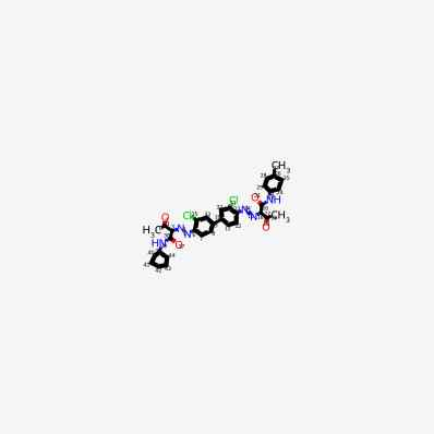 CC(=O)C(/N=N/c1ccc(-c2ccc(/N=N/C(C(C)=O)C(=O)Nc3ccc(C)cc3)c(Cl)c2)cc1Cl)C(=O)Nc1ccccc1